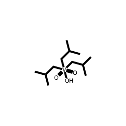 CC(C)[CH2][V](=[O])(=[O])([OH])([CH2]C(C)C)[CH2]C(C)C